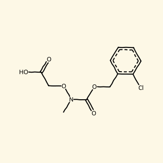 CN(OCC(=O)O)C(=O)OCc1ccccc1Cl